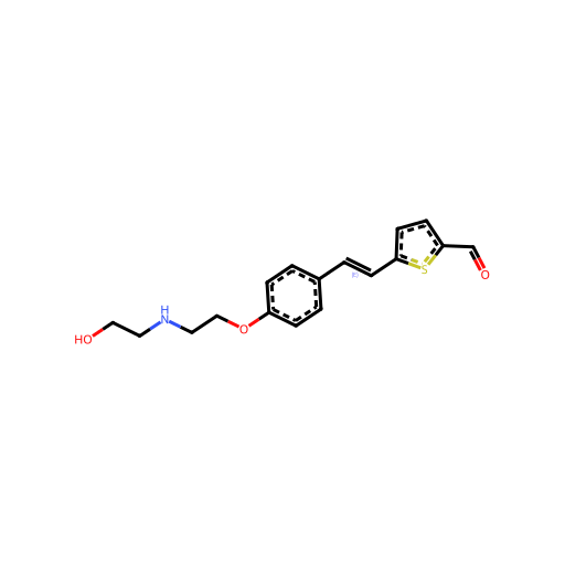 O=Cc1ccc(/C=C/c2ccc(OCCNCCO)cc2)s1